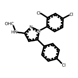 O=CNc1cc(-c2ccc(Cl)cc2)n(-c2ccc(Cl)cc2Cl)n1